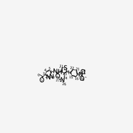 CC(=O)c1ccc(NC(=O)c2[c]sc(-c3ccc([N+](=O)[O-])cc3)c2CN(C)C)nn1